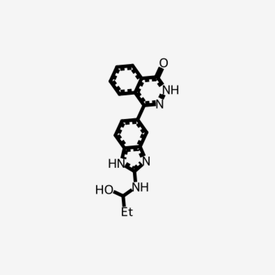 CCC(O)Nc1nc2cc(-c3n[nH]c(=O)c4ccccc34)ccc2[nH]1